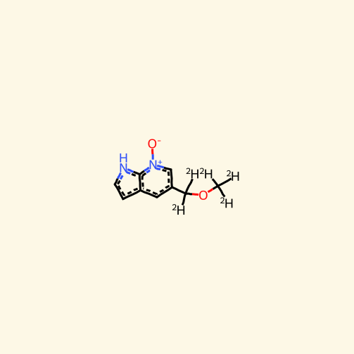 [2H]C([2H])([2H])OC([2H])([2H])c1cc2cc[nH]c2[n+]([O-])c1